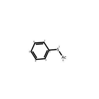 CC(=O)Sc1c[c]ccc1